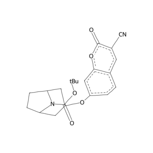 CC(C)(C)OC(=O)N1C2CCC1CC(Oc1ccc3cc(C#N)c(=O)oc3c1)C2